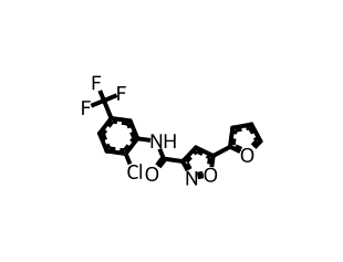 O=C(Nc1cc(C(F)(F)F)ccc1Cl)c1cc(-c2ccco2)on1